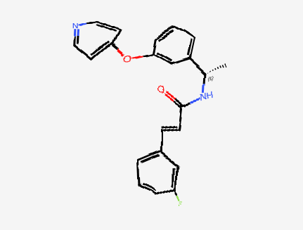 C[C@H](NC(=O)C=Cc1cccc(F)c1)c1cccc(Oc2ccncc2)c1